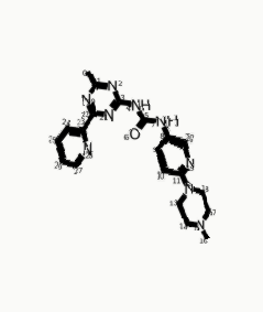 Cc1nc(NC(=O)Nc2ccc(N3CCN(C)CC3)nc2)nc(-c2ccccn2)n1